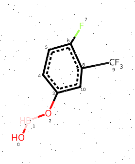 OBOc1ccc(F)c(C(F)(F)F)c1